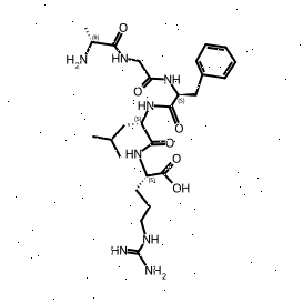 CC(C)C[C@H](NC(=O)[C@H](Cc1ccccc1)NC(=O)CNC(=O)[C@@H](C)N)C(=O)N[C@@H](CCCNC(=N)N)C(=O)O